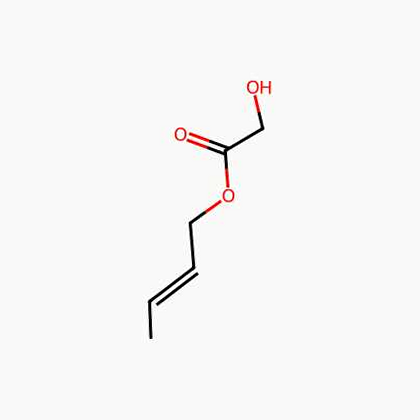 CC=CCOC(=O)CO